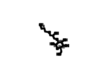 CCCCOCC(O)CO[C@@H]1[C@@H](O)[C@@H](O)[C@@H](CO)O[C@H]1O